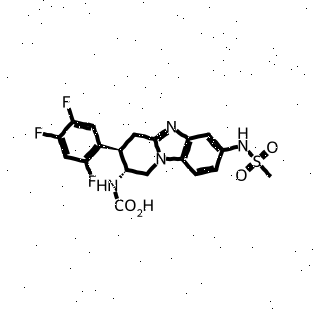 CS(=O)(=O)Nc1ccc2c(c1)nc1n2C[C@H](NC(=O)O)[C@@H](c2cc(F)c(F)cc2F)C1